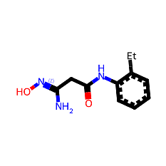 CCc1ccccc1NC(=O)C/C(N)=N/O